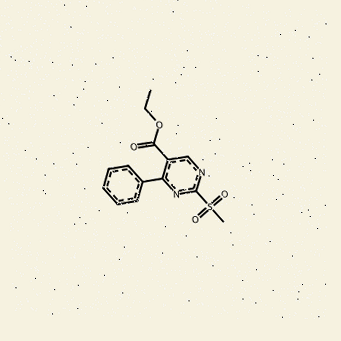 CCOC(=O)c1cnc(S(C)(=O)=O)nc1-c1ccccc1